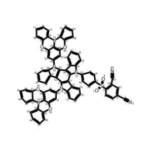 N#Cc1ccc(S(=O)(=O)c2ccc(-n3c4ccccc4c4c3c3c5ccccc5n(-c5cc6c7c(c5)Oc5ccccc5B7c5ccccc5O6)c3c3c5ccccc5n(-c5cc6c7c(c5)Oc5ccccc5B7c5ccccc5O6)c43)cc2)c(C#N)c1